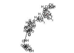 CO[C@@H]1C[C@@H](C[C@H]2CC[C@H](C)C([C@@H](C)C(=O)OCCSSC[C@H](NC(=O)[C@H](CC(=O)O)NC(=O)[C@@H](N)CNC(=O)[C@H](Cc3ccccc3)NC(=O)[C@H](Cc3ccccc3)NC(=O)CCCCCCCNC(=O)CC[C@H](NC(=O)N[C@@H](CCC(=O)O)C(=O)O)C(=O)O)C(=O)O)O2)O[C@]2(O[C@@](C)(C3CC[C@@](C)([C@@H]4O[C@@H]([C@@H]5O[C@@](O)(CO)[C@H](C)C[C@@H]5C)C[C@@H]4C)O3)C[C@H]2C)[C@@H]1C